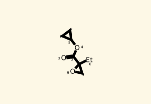 CCC1(C(=O)OC2CC2)CO1